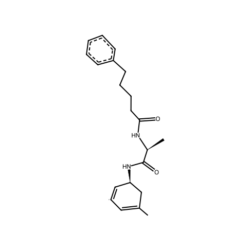 CC1=C[C]=C[C@@H](NC(=O)[C@H](C)NC(=O)CCCCc2ccccc2)C1